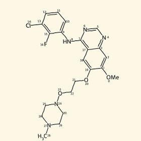 COc1cc2ncnc(Nc3cccc(Cl)c3F)c2cc1OCCON1CCN(C)CC1